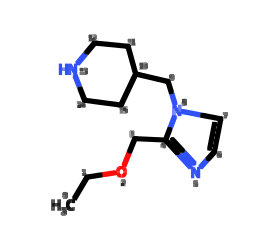 CCOCc1nccn1CC1CCNCC1